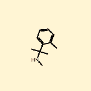 CNC(C)(C)c1ccccc1C